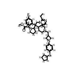 CCc1nccn1CC(c1cccc(F)c1)(C1CCN(CC2CN(c3ccc(SC4CCCC4)cc3)C2)CC1)C1CCCN1NC(=O)OC